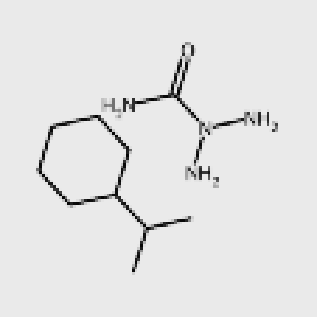 CC(C)C1CCCCC1.NC(=O)N(N)N